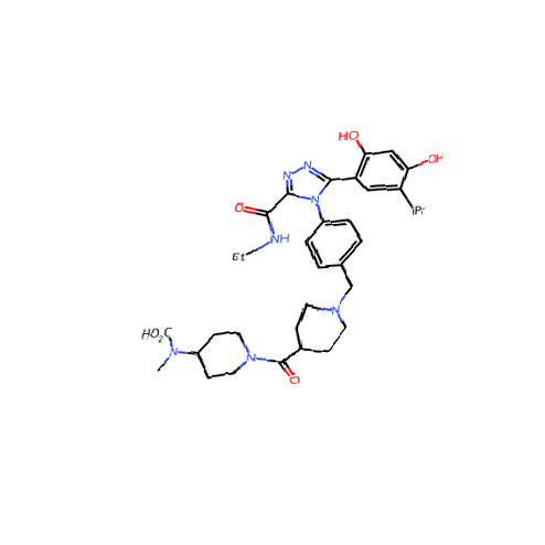 CCNC(=O)c1nnc(-c2cc(C(C)C)c(O)cc2O)n1-c1ccc(CN2CCC(C(=O)N3CCC(N(C)C(=O)O)CC3)CC2)cc1